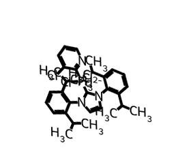 CC(C)c1cccc(C(C)C)c1N1C=CN(c2c(C(C)C)cccc2C(C)C)[CH]1[Pd-2]([Cl])([Cl])[c]1ncccc1Cl